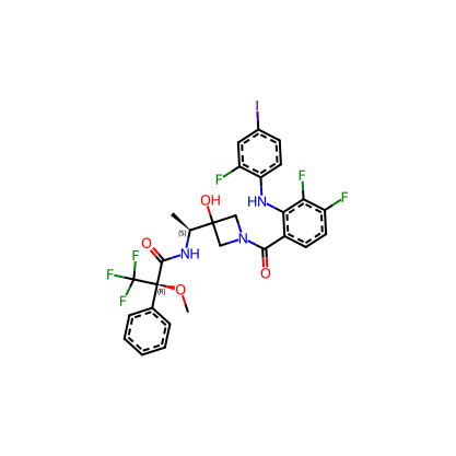 CO[C@@](C(=O)N[C@@H](C)C1(O)CN(C(=O)c2ccc(F)c(F)c2Nc2ccc(I)cc2F)C1)(c1ccccc1)C(F)(F)F